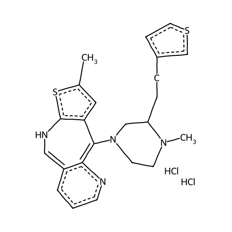 Cc1cc2c(s1)NC=c1cccnc1=C2N1CCN(C)C(CCc2ccsc2)C1.Cl.Cl